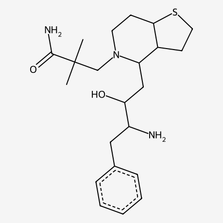 CC(C)(CN1CCC2SCCC2C1CC(O)C(N)Cc1ccccc1)C(N)=O